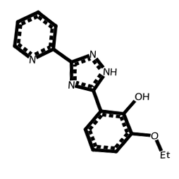 CCOc1cccc(-c2nc(-c3ccccn3)n[nH]2)c1O